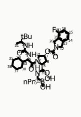 CCC[C@H](NC(=O)[C@@H]1C[C@@H](OC(=O)N2Cc3cccc(F)c3C2)CN1C(=O)[C@@H](NC(=O)N[C@@H](C)C(C)(C)C)C1CCCCC1)B(O)O